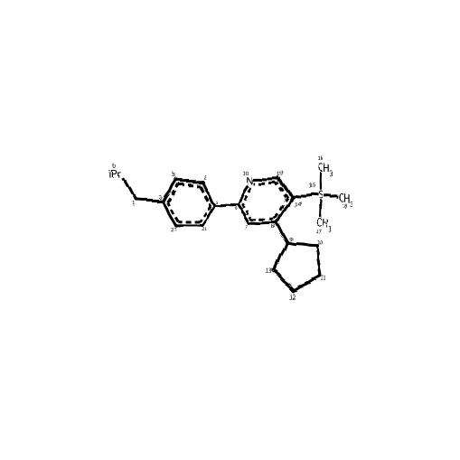 CC(C)Cc1ccc(-c2cc(C3CCCC3)c(S(C)(C)C)cn2)cc1